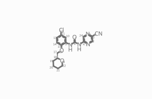 N#Cc1cnc(NC(=O)Nc2cc(Cl)ccc2OC[C@@H]2CCCCO2)cn1